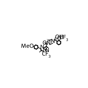 COc1ccc(-c2nc3c(C(=O)N4CCN([C@@H](CO)c5ccccc5OC(F)(F)F)C[C@H]4C)cnn3c(C(F)(F)F)c2C)cc1